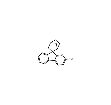 Clc1ccc2c(c1)C1(CC3CCC1C3)c1ccccc1-2